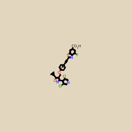 O=C(O)c1cc(F)c2nc(C#CC34CCC(OCc5c(-c6c(Cl)cncc6Cl)noc5C5CC5)(CC3)CC4)sc2c1